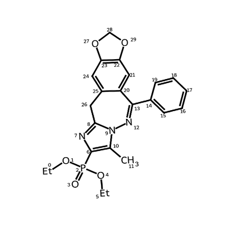 CCOP(=O)(OCC)c1nc2n(c1C)N=C(c1ccccc1)c1cc3c(cc1C2)OCO3